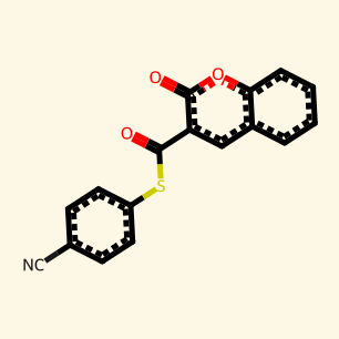 N#Cc1ccc(SC(=O)c2cc3ccccc3oc2=O)cc1